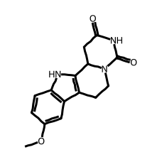 COc1ccc2[nH]c3c(c2c1)CCN1C(=O)NC(=O)CC31